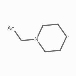 CC(=O)CN1CC[CH]CC1